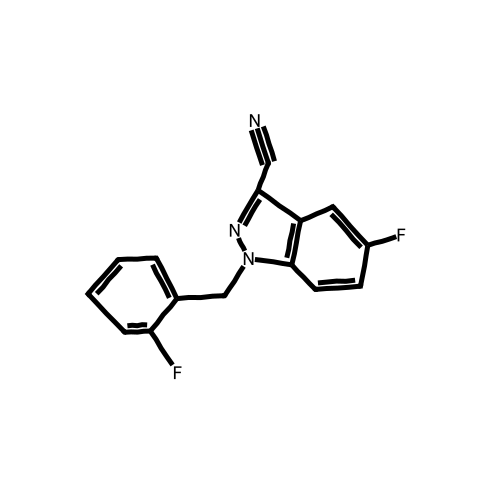 N#Cc1nn(Cc2ccccc2F)c2ccc(F)cc12